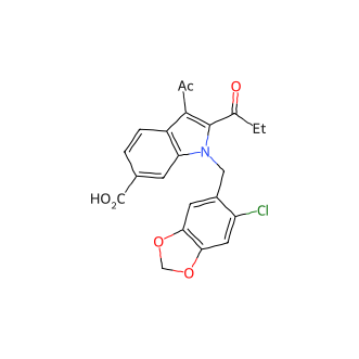 CCC(=O)c1c(C(C)=O)c2ccc(C(=O)O)cc2n1Cc1cc2c(cc1Cl)OCO2